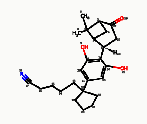 CC1(C)C2CC1[C@H](c1c(O)cc(C3(CCCCC#N)CCCC3)cc1O)CC2=O